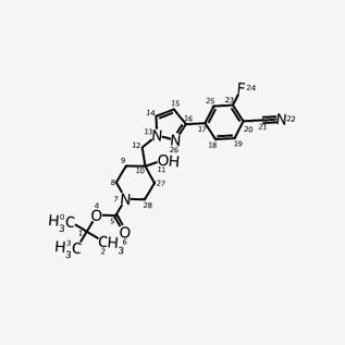 CC(C)(C)OC(=O)N1CCC(O)(Cn2ccc(-c3ccc(C#N)c(F)c3)n2)CC1